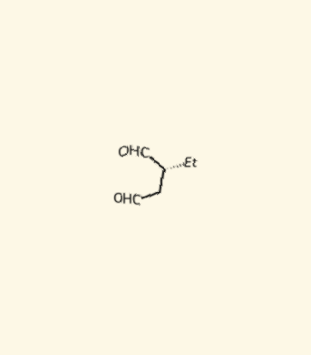 CC[C@@H](C=O)CC=O